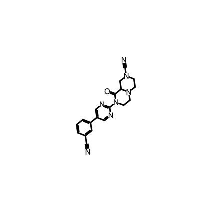 N#Cc1cccc(-c2cnc(N3CCN4CCN(C#N)CC4C3=O)nc2)c1